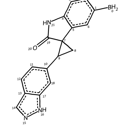 Bc1ccc2c(c1)C1(CC1c1ccc3cn[nH]c3c1)C(=O)N2